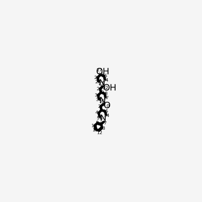 O=C(CC1CCN(Cc2ccccc2)CC1)N1CCC(CC(O)N2CCC(O)CC2)CC1